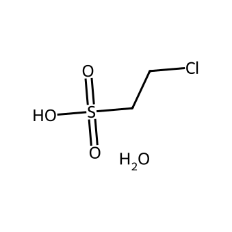 O.O=S(=O)(O)CCCl